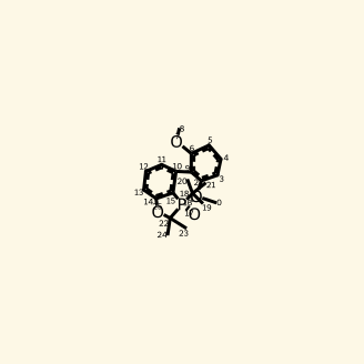 COc1cccc(OC)c1-c1cccc2c1P(=O)(C(C)(C)C)C(C)(C)O2